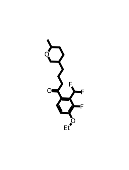 CCOc1ccc(C(=O)CCCC2CCC(C)OC2)c(C(F)F)c1F